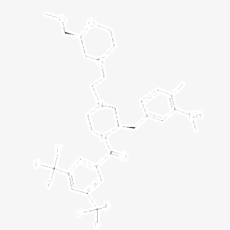 CNc1cc(C[C@@H]2CN(CCN3CCO[C@H](COC)C3)CCN2C(=O)c2cc(C(F)(F)F)cc(C(F)(F)F)c2)ccc1C